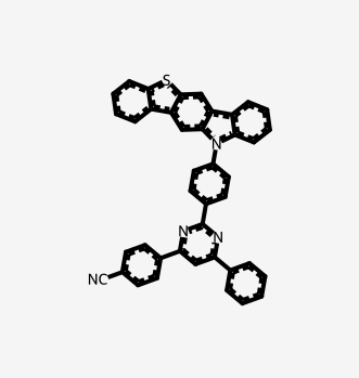 N#Cc1ccc(-c2cc(-c3ccccc3)nc(-c3ccc(-n4c5ccccc5c5cc6sc7ccccc7c6cc54)cc3)n2)cc1